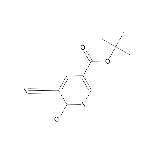 Cc1nc(Cl)c(C#N)cc1C(=O)OC(C)(C)C